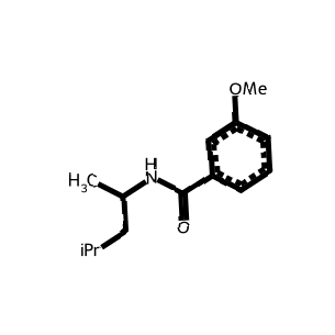 COc1cccc(C(=O)NC(C)CC(C)C)c1